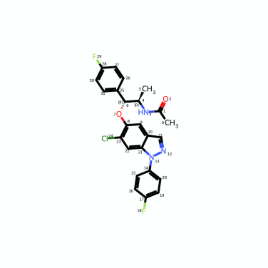 CC(=O)N[C@H](C)[C@H](Oc1cc2cnn(-c3ccc(F)cc3)c2cc1Cl)c1ccc(F)cc1